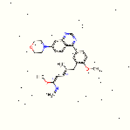 C=N/C(=C\C=C(/C)Cc1cc(-c2ncnc3cc(N4CCOCC4)ccc23)ccc1OC)OC